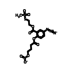 CS(=O)(=O)SCCOC(=O)c1cc(N=[N+]=[N-])ccc1OC(=O)CCCO[N+](=O)[O-]